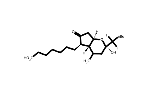 CCCCC(F)(F)[C@@]1(O)CC(C)[C@H]2[C@@H](CC(=O)[C@@H]2CCCCCCC(=O)O)O1